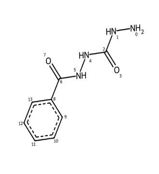 NNC(=O)NNC(=O)c1ccccc1